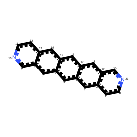 c1cc2cc3cc4cc5cnccc5cc4cc3cc2cn1